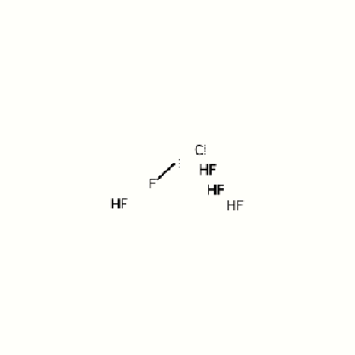 F.F.F.F.[C].[C]F